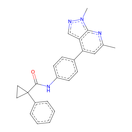 Cc1cc(-c2ccc(NC(=O)C3(c4ccccc4)CC3)cc2)c2cnn(C)c2n1